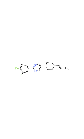 C/C=C/[C@H]1CC[C@H](c2cnc(-c3ccc(F)c(F)c3)nc2)CC1